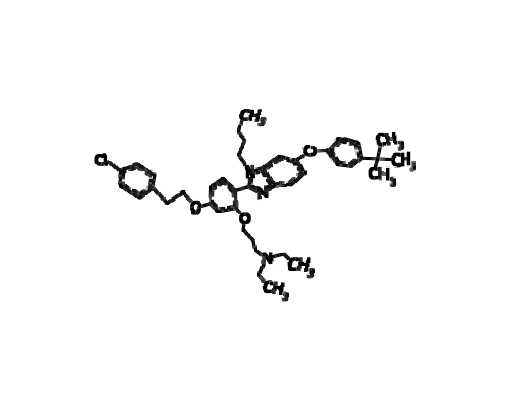 CCCCn1c(-c2ccc(OCCc3ccc(Cl)cc3)cc2OCCCN(CC)CC)nc2ccc(Oc3ccc(C(C)(C)C)cc3)cc21